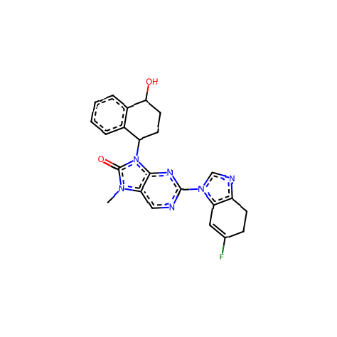 Cn1c(=O)n(C2CCC(O)c3ccccc32)c2nc(-n3cnc4c3C=C(F)CC4)ncc21